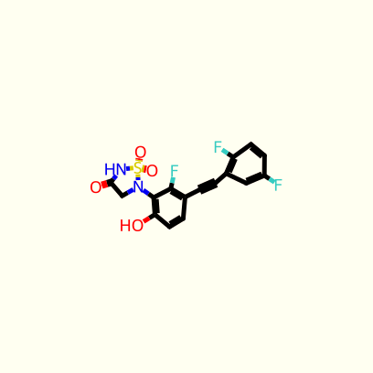 O=C1CN(c2c(O)ccc(C#Cc3cc(F)ccc3F)c2F)S(=O)(=O)N1